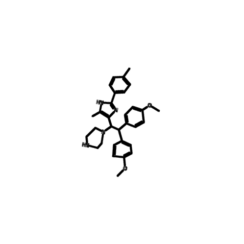 COc1ccc(C(c2ccc(OC)cc2)C(c2nc(-c3ccc(C)cc3)[nH]c2C)N2CCNCC2)cc1